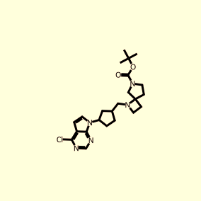 CC(C)(C)OC(=O)N1CCC2(CCN2CC2CCC(n3ccc4c(Cl)ncnc43)C2)C1